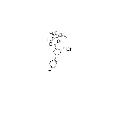 CC(C)(C)OC(=O)N1CC(c2ccc(F)cc2)=CC1CO